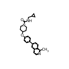 Cc1nccc2cc(-c3ccc(OC4CCN(C(=O)NCC5CC5)CC4)cc3)ccc12